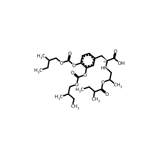 CCC(C)COC(=O)Oc1ccc(C[C@H](NCC(C)OC(=O)C(C)CC)C(=O)O)cc1OC(=O)OCC(C)CC